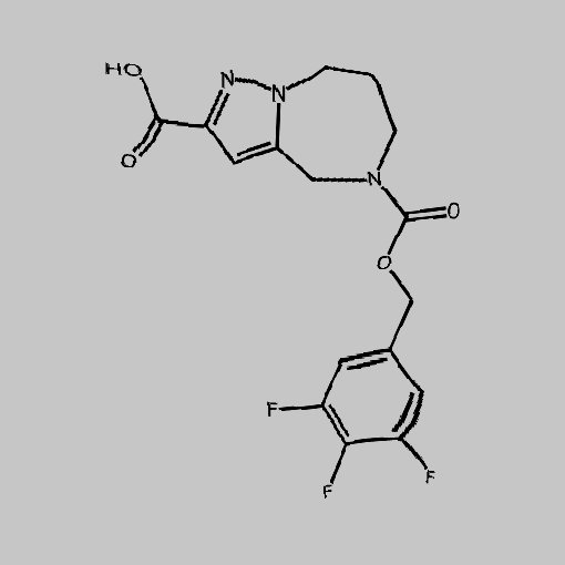 O=C(O)c1cc2n(n1)CCCN(C(=O)OCc1cc(F)c(F)c(F)c1)C2